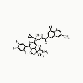 Cc1cnc2c(Cl)cc(C(=O)NC[C@](O)(c3cc4c(c(-c5cc(F)c(F)cc5F)n3)OC[C@]4(C)C(N)=O)C3CC3)cc2c1